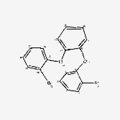 Brc1ccccc1Oc1ccccc1Oc1ccccc1Br